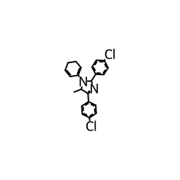 CC1C(c2ccc(Cl)cc2)=NC(c2ccc(Cl)cc2)N1C1=CCCC=C1